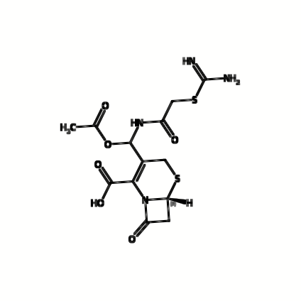 CC(=O)OC(NC(=O)CSC(=N)N)C1=C(C(=O)O)N2C(=O)C[C@H]2SC1